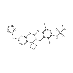 CNS(=O)(=O)Nc1cc(F)cc(CN2C(=O)Oc3cc(Oc4ncco4)ccc3C23CCC3)c1F